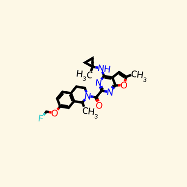 Cc1cc2c(NC3(C)CC3)nc(C(=O)N3CCc4ccc(OCF)cc4C3C)nc2o1